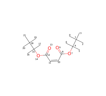 CC(C)(C)C(C)(C)OC(=O)/C=C\C(=O)OC(C)(C)C(C)(C)C